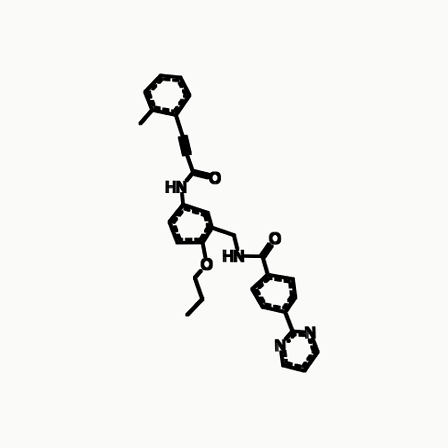 CCCOc1ccc(NC(=O)C#Cc2ccccc2C)cc1CNC(=O)c1ccc(-c2ncccn2)cc1